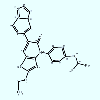 CCOc1nc2c(cc(-c3ccc4nccn4c3)c(=O)n2-c2ccc(OC(F)F)cc2)s1